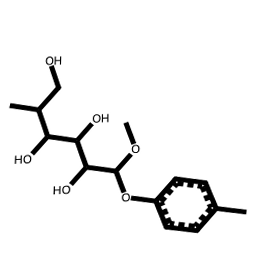 COC(Oc1ccc(C)cc1)C(O)C(O)C(O)C(C)CO